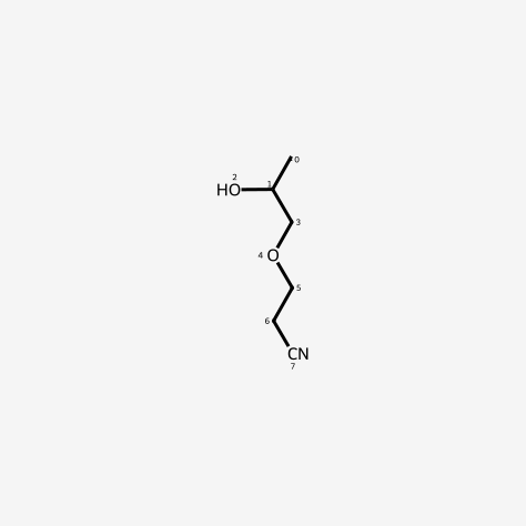 [CH2]C(O)COCCC#N